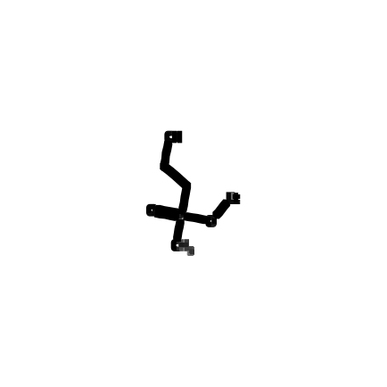 CCOP(C)(=O)CCC#N